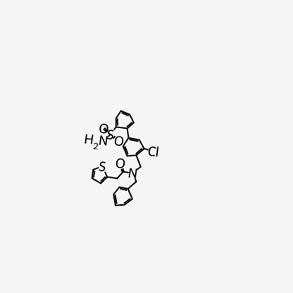 NS(=O)(=O)c1ccccc1-c1ccc(CN(Cc2ccccc2)C(=O)Cc2cccs2)c(Cl)c1